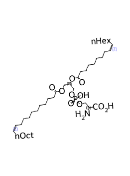 CCCCCC/C=C\CCCCCCCC(=O)O[C@H](COC(=O)CCCCCCCCC/C=C\CCCCCCCC)COP(=O)(O)OC[C@H](N)C(=O)O